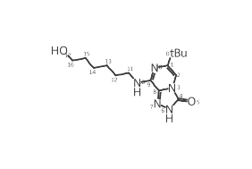 CC(C)(C)c1cn2c(=O)[nH]nc2c(NCCCCCCO)n1